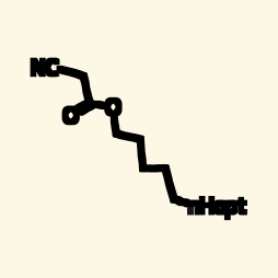 CCCCCCCCCCCCOC(=O)CC#N